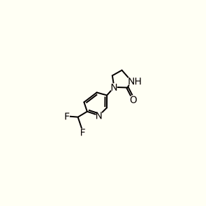 O=C1NCCN1c1ccc(C(F)F)nc1